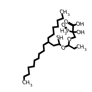 CCCCCCCCCCC(CCCCCCC)CC(S)OC(CC)OCC(O)([PH2]=O)C(=O)O